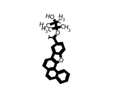 CC(C)(O)C(C)(C)O[C@H](I)c1ccc2oc3c(ccc4ccc5ccccc5c43)c2c1